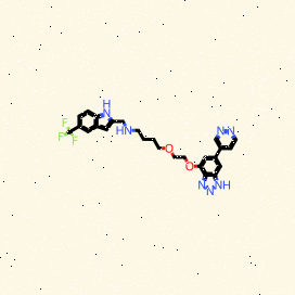 FC(F)(F)c1ccc2[nH]c(CNCCCCOCCOc3cc(-c4ccnnc4)cc4[nH]nnc34)cc2c1